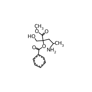 COC(=O)C(CO)(CC(C)N)OC(=O)c1ccccc1